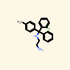 Cc1ccc(C(NCCN)(c2ccccc2)c2ccccc2Cl)cc1